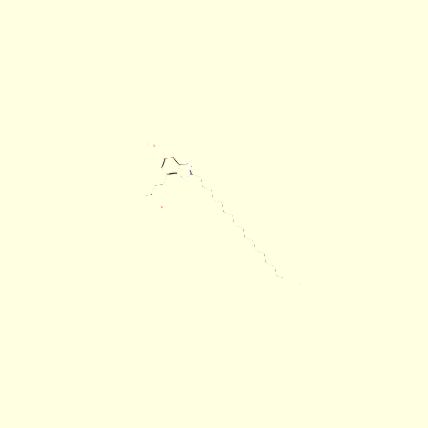 CCCCCCCCCCCCCCCCCc1nc2cc(S(=O)(=O)O)cc(CCC(C)S(=O)(=O)O)c2[nH]1